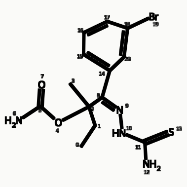 CCC(C)(OC(N)=O)C(=NNC(N)=S)c1cccc(Br)c1